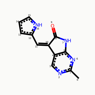 Cc1ncc2c(n1)NC(=O)C2=Cc1ccc[nH]1